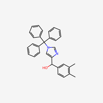 Cc1ccc(C(O)c2cn(C(c3ccccc3)(c3ccccc3)c3ccccc3)cn2)cc1C